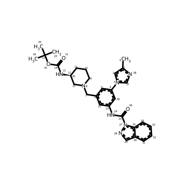 Cc1cn(-c2cc(CN3CCC[C@H](NC(=O)OC(C)(C)C)C3)cc(NC(=O)n3ncc4ccccc43)c2)cn1